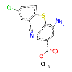 COC(=O)c1ccc(Sc2ccc(Cl)cc2C#N)c(N)c1